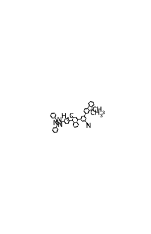 CC1C=C(c2cc(C#N)cc(-c3ccc4c(c3)C(C)(C)c3ccccc3-4)c2)c2ccccc2C1c1ccc(-c2nc(-c3ccccc3)nc(-c3ccccc3)n2)cc1